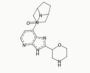 O=CN1C2CCC1CN(c1ccnc3[nH]c(C4CNCCO4)nc13)C2